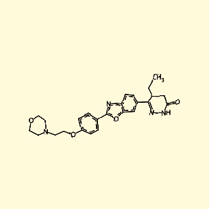 CCC1CC(=O)NN=C1c1ccc2nc(-c3ccc(OCCN4CCOCC4)cc3)oc2c1